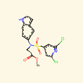 CC(C)(C)OC(=O)CN(c1ccc2[nH]ccc2c1)S(=O)(=O)c1cc(Cl)nc(Cl)c1